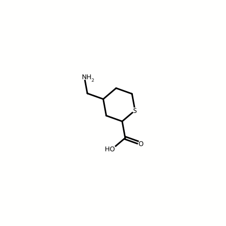 NCC1CCSC(C(=O)O)C1